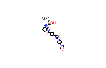 CSCC[C@@H](CO)NC(=O)C1(NC(=O)c2ccc(-c3csc(N4CCC(N5CCOCC5)CC4)n3)cc2)CCCCC1